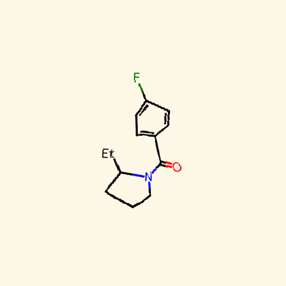 CCC1CCCN1C(=O)c1ccc(F)cc1